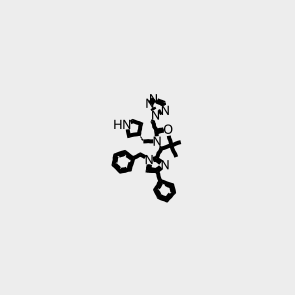 CC(C)(C)[C@H](c1nc(-c2ccccc2)cn1Cc1ccccc1)N(C[C@H]1CCNC1)C(=O)Cn1ncnn1